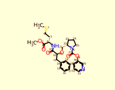 COC(=O)[C@H](CCSC)NC(=O)C(Cc1ccccc1)OC[C@@H]1CCCN1C(=O)Oc1cccnc1